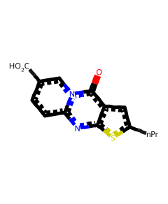 CCCc1cc2c(=O)n3cc(C(=O)O)ccc3nc2s1